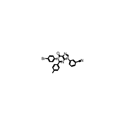 Cc1ccc(-c2nc3c(ncn3-c3cccc(C#N)c3)c(=O)n2-c2ccc(Br)cc2)cc1